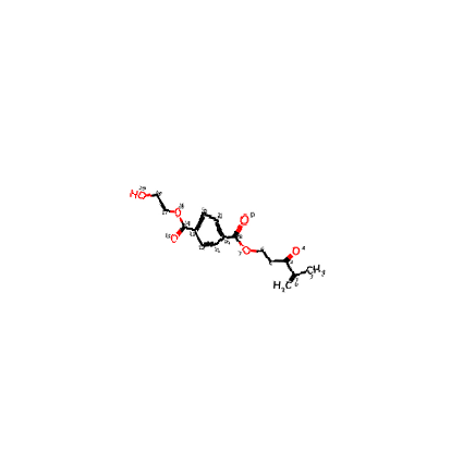 C=C(C)C(=O)CCOC(=O)c1ccc(C(=O)OCCO)cc1